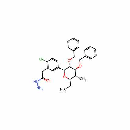 CC[C@H]1O[C@@H](c2ccc(Cl)c(CC(=O)NN)c2)[C@H](OCc2ccccc2)[C@@H](OCc2ccccc2)[C@@H]1C